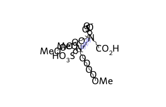 COCCOCCOCCOCCOCCC1(C)C(/C=C/C=C/C=C2/N(CCCCCC(=O)O)c3ccc(S(=O)(=O)[O-])cc3C2(C)CCOCCOCCOCCOCCOC)=[N+](CCOC)c2ccc(S(=O)(=O)O)cc21